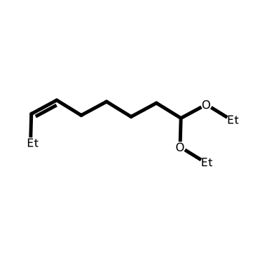 CC/C=C\CCCCC(OCC)OCC